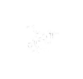 CCOC(=O)Oc1c2ccc(C(=O)NO)cc(C)c-2c(CCC(C)C)c1N1C(=O)c2ccccc2C1=O